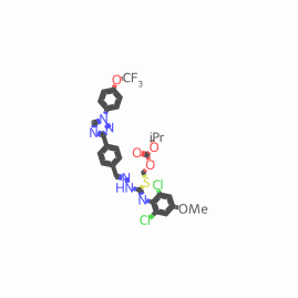 COc1cc(Cl)c(/N=C(/N/N=C/c2ccc(-c3ncn(-c4ccc(OC(F)(F)F)cc4)n3)cc2)SCOC(=O)OC(C)C)c(Cl)c1